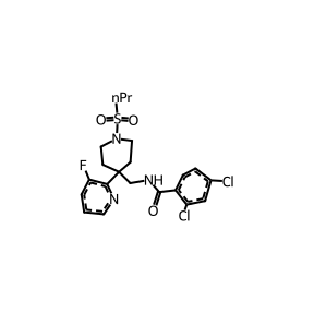 CCCS(=O)(=O)N1CCC(CNC(=O)c2ccc(Cl)cc2Cl)(c2ncccc2F)CC1